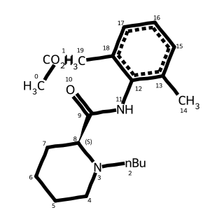 CC(=O)O.CCCCN1CCCC[C@H]1C(=O)Nc1c(C)cccc1C